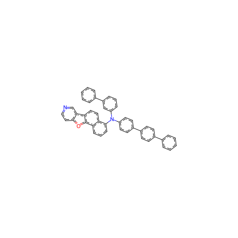 c1ccc(-c2ccc(-c3ccc(N(c4cccc(-c5ccccc5)c4)c4cccc5c4ccc4c6cnccc6oc54)cc3)cc2)cc1